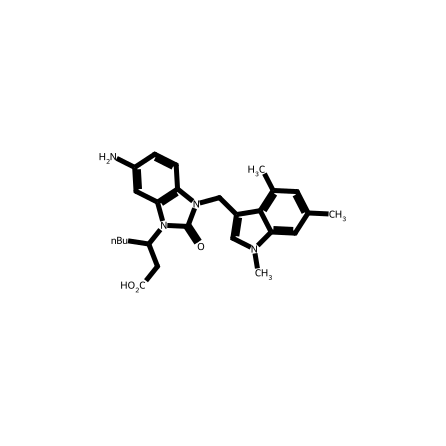 CCCCC(CC(=O)O)n1c(=O)n(Cc2cn(C)c3cc(C)cc(C)c23)c2ccc(N)cc21